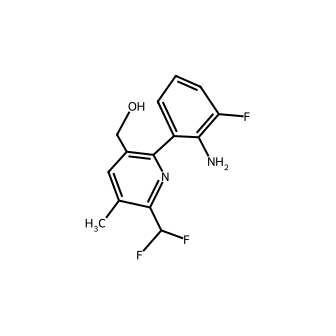 Cc1cc(CO)c(-c2cccc(F)c2N)nc1C(F)F